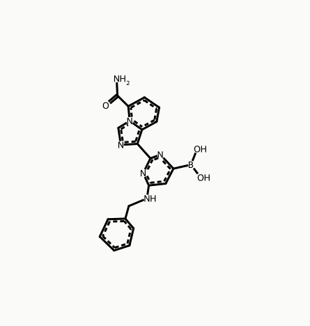 NC(=O)c1cccc2c(-c3nc(NCc4ccccc4)cc(B(O)O)n3)ncn12